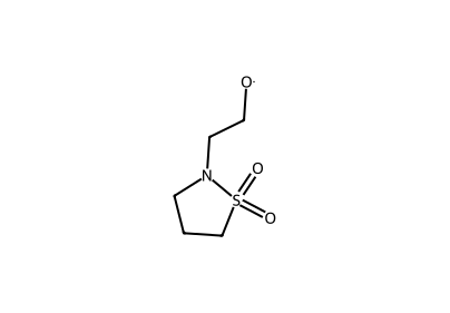 [O]CCN1CCCS1(=O)=O